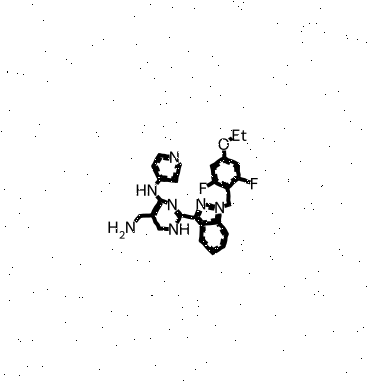 CCOc1cc(F)c(Cn2nc(C3=NC(Nc4ccncc4)=C(CN)CN3)c3ccccc32)c(F)c1